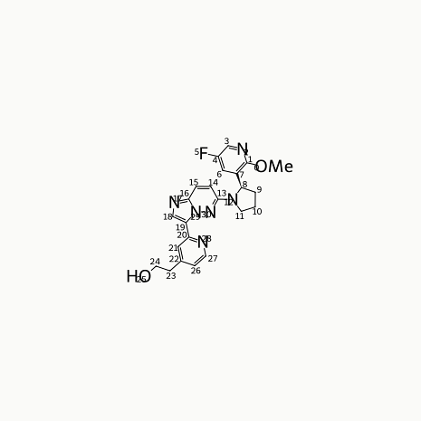 COc1ncc(F)cc1[C@H]1CCCN1c1ccc2ncc(-c3cc(CCO)ccn3)n2n1